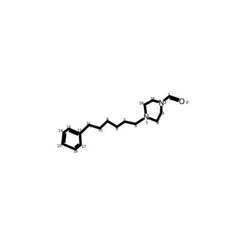 O=CN1CCN(CCCCCCc2ccccc2)CC1